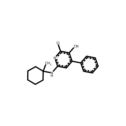 CC1(Nc2cc(-c3ccccc3)c(C#N)c(Cl)n2)CCCCC1